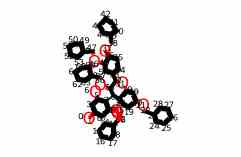 COc1cc(OC)c([C@@H]2c3c(OCc4ccccc4)cc(OCc4ccccc4)cc3OC(c3ccc(OCc4ccccc4)c(OCc4ccccc4)c3)C2OCc2ccccc2)c(OC)c1